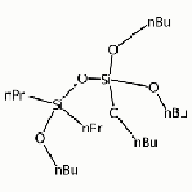 CCCCO[Si](CCC)(CCC)O[Si](OCCCC)(OCCCC)OCCCC